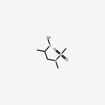 CC(CN(C)S(C)(=O)=O)SS